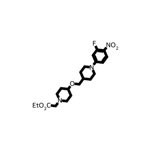 CCOC(=O)CN1CCC(OCC2CCN(c3ccc([N+](=O)[O-])c(F)c3)CC2)CC1